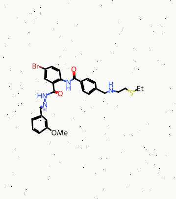 CCSCCNCc1ccc(C(=O)Nc2ccc(Br)cc2C(=O)N/N=C/c2cccc(OC)c2)cc1